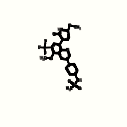 COc1ccc(-c2cc(C(F)(F)F)c(OC)c3cc(-c4ccc(NS(C)(=O)=O)cc4)cnc23)c(=O)[nH]1